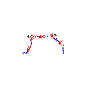 CC(OC(=O)CCN1CCN(CCC(=O)OCOC(=O)CCN2CCNCC2)CC1)C(=O)OCCCCCC(=O)OCCOC(=O)CCCCCOC(=O)C(C)OC(=O)CCN1CCN(CCC(=O)OCOC(=O)CCN2CCNCC2)CC1